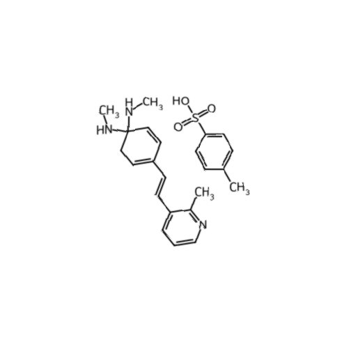 CNC1(NC)C=CC(C=Cc2cccnc2C)=CC1.Cc1ccc(S(=O)(=O)O)cc1